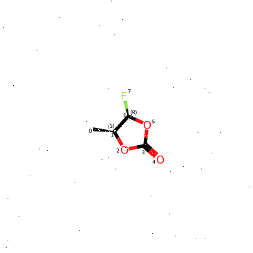 C[C@@H]1OC(=O)O[C@@H]1F